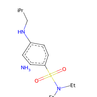 CCN(CC)S(=O)(=O)c1ccc(NCC(C)C)cc1.N